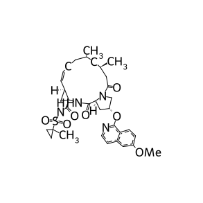 COc1ccc2c(O[C@@H]3C[C@H]4C(=O)N[C@]5(C(=O)NS(=O)(=O)C6(C)CC6)C[C@H]5/C=C\CC[C@H](C)C[C@@H](C)CC(=O)N4C3)nccc2c1